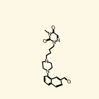 Cn1c(=O)cnn(CCCCN2CCN(c3cccc4ccc(C=O)cc34)CC2)c1=O